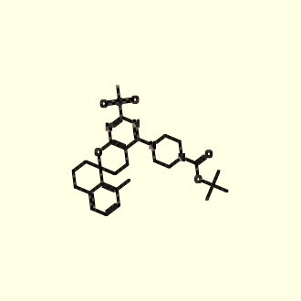 Cc1cccc2c1C1(CCC2)CCc2c(nc(S(C)(=O)=O)nc2N2CCN(C(=O)OC(C)(C)C)CC2)O1